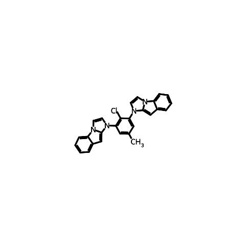 Cc1cc(-n2ccn3c4ccccc4cc23)c(Cl)c(-n2ccn3c4ccccc4cc23)c1